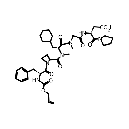 C=CCOC(=O)N[C@@H](Cc1ccccc1)C(=O)N1CCC1C(=O)N(C)[C@@H](CC1CCCCC1)C(=O)N(C)CC(=O)N[C@@H](CC(=O)O)C(=O)N1CCCC1